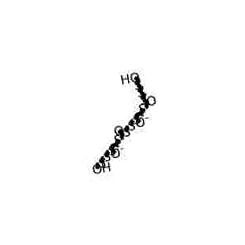 O=C(CSCC[S+]([O-])CSCSC(=O)CSCC[S+]([O-])CSCSCO)SCSCSCO